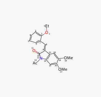 CCOc1ccccc1C=C1C(=O)N(C(C)=O)c2cc(OC)c(OC)cc21